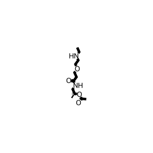 CCNCCOCCC(=O)NC[C@H](C)OC(C)=O